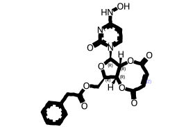 O=C1/C=C\C(=O)O[C@H]2[C@@H](O1)[C@H](n1ccc(NO)nc1=O)O[C@@H]2COC(=O)Cc1ccccc1